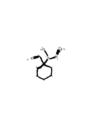 O=CC1(N(O)N=O)CCCCC1